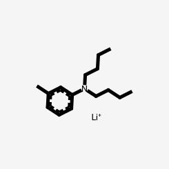 CCCCN(CCCC)c1cccc(C)c1.[Li+]